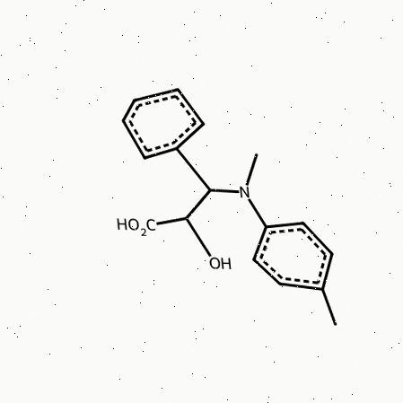 Cc1ccc(N(C)C(c2ccccc2)C(O)C(=O)O)cc1